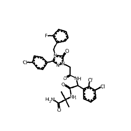 CC(C)(NC(=O)C(NC(=O)Cn1nc(-c2ccc(Cl)cc2)n(Cc2ccccc2F)c1=O)c1cccc(Cl)c1Cl)C(N)=O